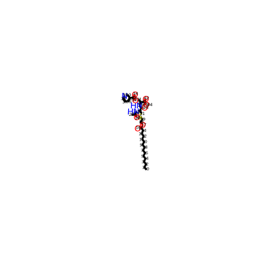 CCCCCCCCCCCCCCCC(=O)OCCSCC(NC(C)=O)C(=O)NC(COC(=O)c1cccnc1)C(=O)OC